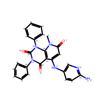 Cn1c(=O)cc(Nc2ccc(N)nc2)c2c(=O)n(-c3ccccc3)c(=O)n(-c3ccccc3)c21